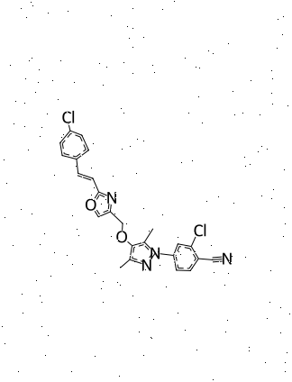 Cc1nn(-c2ccc(C#N)c(Cl)c2)c(C)c1OCc1coc(/C=C/c2ccc(Cl)cc2)n1